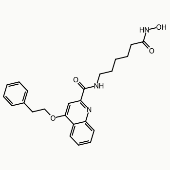 O=C(CCCCCNC(=O)c1cc(OCCc2ccccc2)c2ccccc2n1)NO